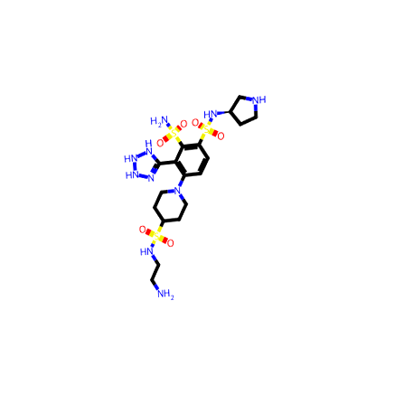 NCCNS(=O)(=O)C1CCN(c2ccc(S(=O)(=O)N[C@@H]3CCNC3)c(S(N)(=O)=O)c2C2=NNNN2)CC1